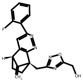 C=C1[C@@H]2CC[C@@]1(Cc1noc(CO)n1)c1nnc(-c3ccccc3F)cc12